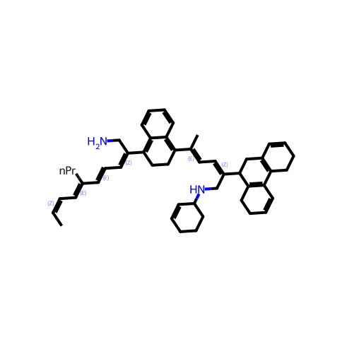 C\C=C/C=C(/C=C/C=C(\CN)C1=c2ccccc2=C(/C(C)=C/C=C(\CNC2C=CCCC2)C2CC3=C(CCC=C3)C3=C2CCC=C3)CC1)CCC